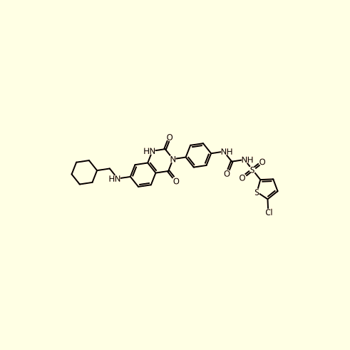 O=C(Nc1ccc(-n2c(=O)[nH]c3cc(NCC4CCCCC4)ccc3c2=O)cc1)NS(=O)(=O)c1ccc(Cl)s1